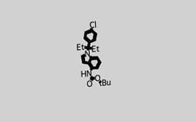 CCC(CC)(c1ccc(Cl)cc1)n1ccc2c(NC(=O)OC(C)(C)C)cccc21